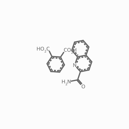 NC(=O)c1ccc2ccccc2n1.O=C(O)c1ccccc1C(=O)O